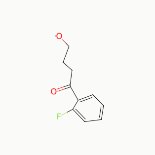 [O]CCCC(=O)c1ccccc1F